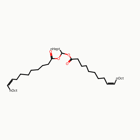 CCCCCCCC/C=C\CCCCCCCC(=O)O[C](CCCCCCC)OC(=O)CCCCCCC/C=C\CCCCCCCC